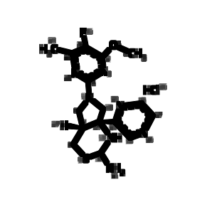 COc1nc(N2C[C@H]3CSC(N)N[C@@]3(c3cnccn3)C2)nc(C)c1F.Cl